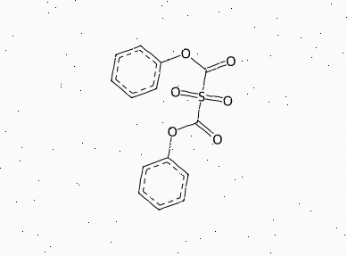 O=C(Oc1ccccc1)S(=O)(=O)C(=O)Oc1ccccc1